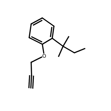 C#CCOc1ccccc1C(C)(C)CC